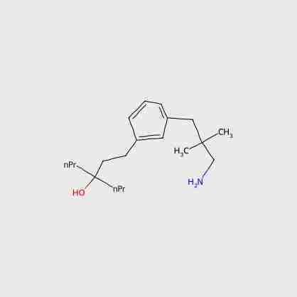 CCCC(O)(CCC)CCc1cccc(CC(C)(C)CN)c1